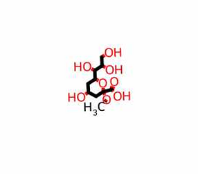 COC1(C(=O)O)CC(O)CC(C(O)C(O)CO)O1